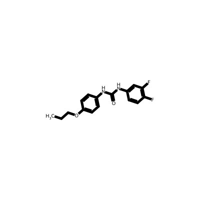 CCCOc1ccc(NC(=O)Nc2ccc(F)c(F)c2)cc1